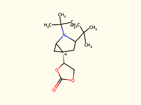 CC(C)(C)C1C[C@@]2(C3COC(=O)O3)CC2N1C(C)(C)C